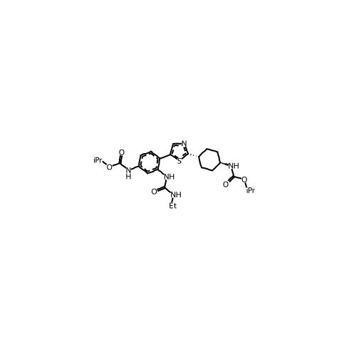 CCNC(=O)Nc1cc(NC(=O)OC(C)C)ccc1-c1cnc([C@H]2CC[C@H](NC(=O)OC(C)C)CC2)s1